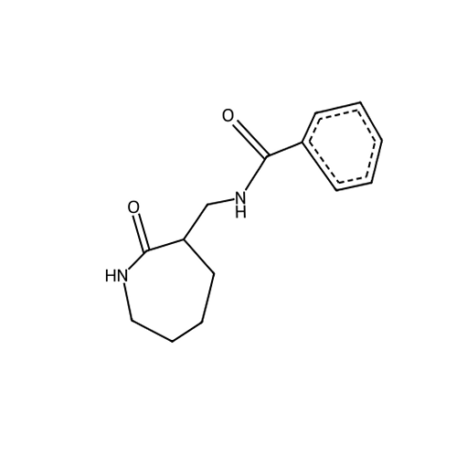 O=C(NCC1CCCCNC1=O)c1ccccc1